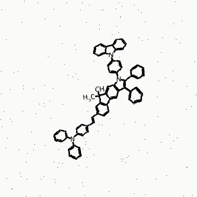 CC1(C)c2cc(/C=C/c3ccc(N(c4ccccc4)c4ccccc4)cc3)ccc2-c2cc3c(-c4ccccc4)c(-c4ccccc4)n(-c4ccc(-n5c6ccccc6c6ccccc65)cc4)c3cc21